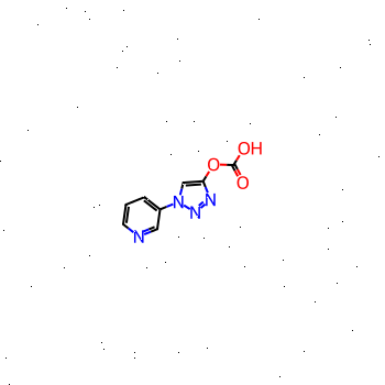 O=C(O)Oc1cn(-c2cccnc2)nn1